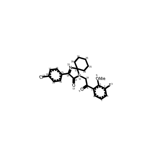 COc1c(F)cccc1C(=O)CN1C(=O)C(c2ccc(Cl)cc2)=NC12CCCCC2